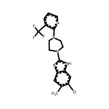 Cc1cc2nc(N3CCN(c4ncccc4C(F)(F)F)CC3)[nH]c2cc1Cl